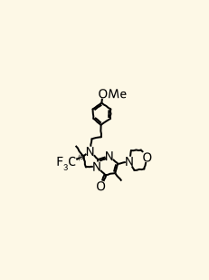 COc1ccc(CCN2c3nc(N4CCOCC4)c(C)c(=O)n3C[C@@]2(C)C(F)(F)F)cc1